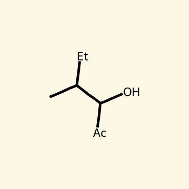 CCC(C)C(O)C(C)=O